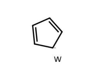 [CH]1C=CC=C1.[W]